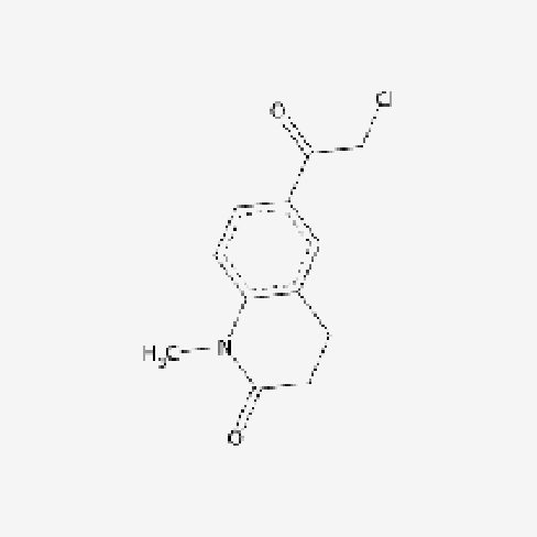 CN1C(=O)CCc2cc(C(=O)CCl)ccc21